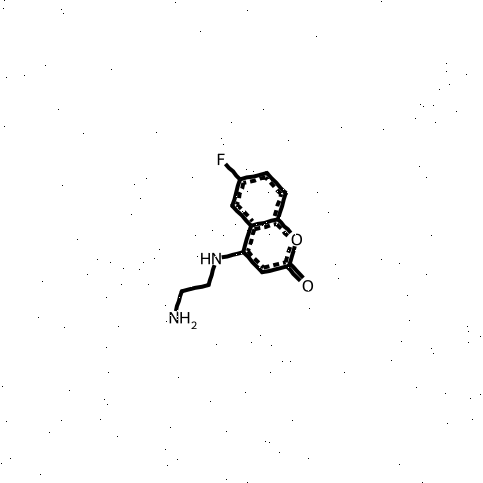 NCCNc1cc(=O)oc2ccc(F)cc12